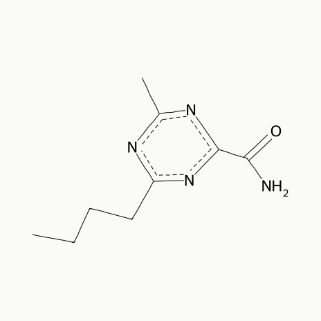 CCCCc1nc(C)nc(C(N)=O)n1